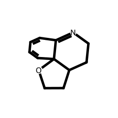 C1=CC2=NCCC3CCOC23C=C1